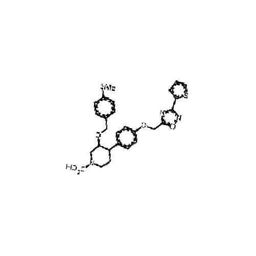 CSc1ccc(COC2CN(C(=O)O)CCC2c2ccc(OCc3nc(-c4cccs4)no3)cc2)cc1